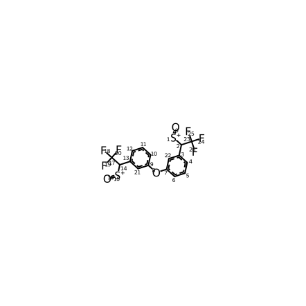 O=[S+]C(c1cccc(Oc2cccc(C([S+]=O)C(F)(F)F)c2)c1)C(F)(F)F